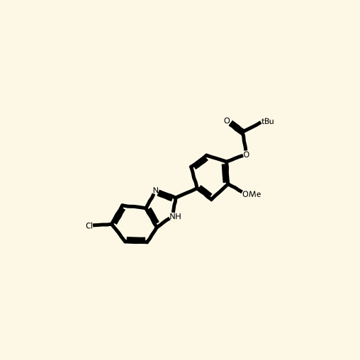 COc1cc(-c2nc3cc(Cl)ccc3[nH]2)ccc1OC(=O)C(C)(C)C